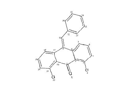 O=C1c2c(Cl)cccc2C(=Cc2ccccc2)c2cccc(Cl)c21